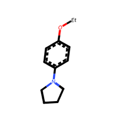 CCOc1ccc(N2CCCC2)cc1